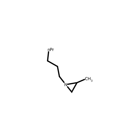 CCCCCCN1CC1C